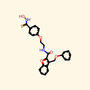 O=C(NCCOc1ccc(C(=S)NO)cc1)c1oc2ccccc2c1COc1ccccc1